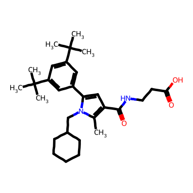 Cc1c(C(=O)NCCC(=O)O)cc(-c2cc(C(C)(C)C)cc(C(C)(C)C)c2)n1CC1CCCCC1